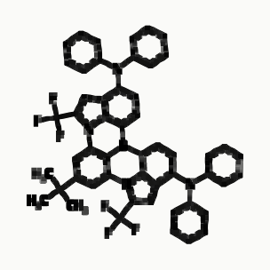 CC(C)(C)c1cc2c3c(c1)-n1c(C(F)(F)F)cc4c(N(c5ccccc5)c5ccccc5)ccc(c41)B3c1ccc(N(c3ccccc3)c3ccccc3)c3cc(C(F)(F)F)n-2c13